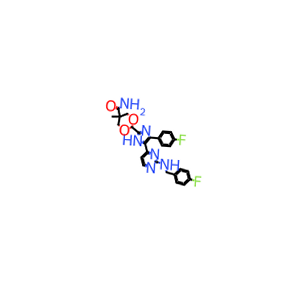 CC1(C(N)=O)COC(c2nc(-c3ccc(F)cc3)c(-c3ccnc(NCc4ccc(F)cc4)n3)[nH]2)OC1